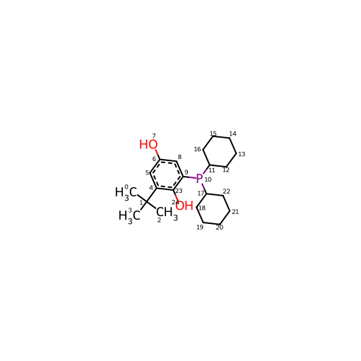 CC(C)(C)c1cc(O)cc(P(C2CCCCC2)C2CCCCC2)c1O